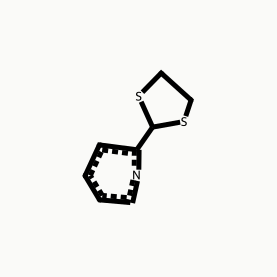 c1ccc(C2SCCS2)nc1